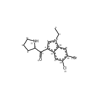 CCn1cc(C(=O)C2CCCN2)c2cc(Cl)c(Br)cc21